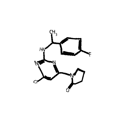 CC(Nc1nc(Cl)cc(N2CCCC2=O)n1)c1ccc(F)cc1